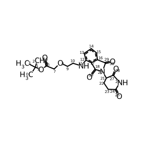 CC(C)(C)OC(=O)COCCNc1cccc2c1C(=O)N(C1CCC(=O)NC1=O)C2=O